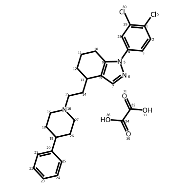 Clc1ccc(-n2ncc3c2CCCC3CCN2CCC(c3ccccc3)CC2)cc1Cl.O=C(O)C(=O)O